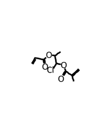 C=CC(=O)OC(C)C(Cl)OC(=O)C(=C)C